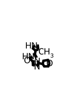 CC1CNCC1c1cn2c(C3CCOCC3)ncc2c(=O)[nH]1